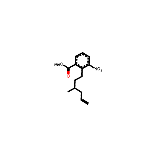 C=CCC(C)CCc1c(C(=O)OC)cccc1[N+](=O)[O-]